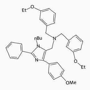 CCCCn1c(-c2ccccc2)nc(-c2ccc(OC)cc2)c1CN(Cc1cccc(OCC)c1)Cc1cccc(OCC)c1